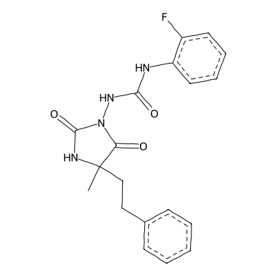 CC1(CCc2ccccc2)NC(=O)N(NC(=O)Nc2ccccc2F)C1=O